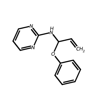 C=CC(Nc1ncccn1)Oc1ccccc1